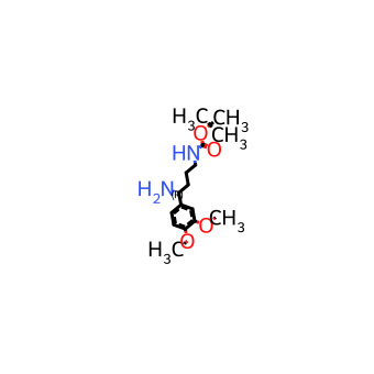 COc1ccc([C@H](N)CCCNC(=O)OC(C)(C)C)cc1OC